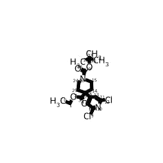 CCOC(=O)C1(c2cc(Cl)nc(Cl)c2)CCN(C(=O)OC(C)(C)C)CC1